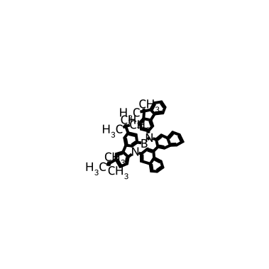 CC(C)(C)c1ccc2c(c1)c1cc(C(C)(C)C)cc3c1n2-c1cc2ccccc2c2c1B3N(c1ccc3c(c1)-c1ccccc1C3(C)C)c1cc3ccccc3cc1-2